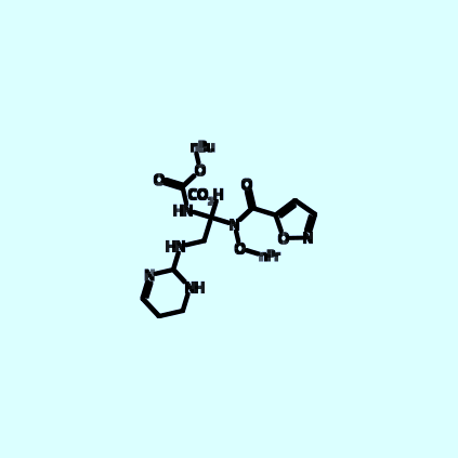 CCCCOC(=O)NC(CNC1N=CCCN1)(C(=O)O)N(OCCC)C(=O)c1ccno1